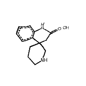 Cl.O=C1CC2(CCCNC2)c2ccccc2N1